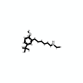 CCNCCCCCCc1cc(C(C)(C)C)ccc1OC